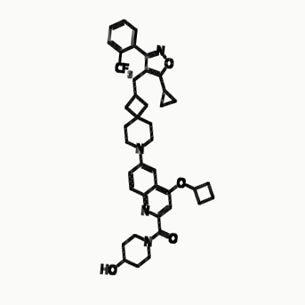 O=C(c1cc(OC2CCC2)c2cc(N3CCC4(CC3)CC(Cc3c(-c5ccccc5C(F)(F)F)noc3C3CC3)C4)ccc2n1)N1CCC(O)CC1